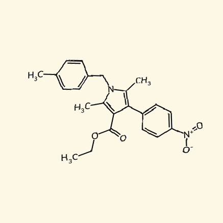 CCOC(=O)c1c(-c2ccc([N+](=O)[O-])cc2)c(C)n(Cc2ccc(C)cc2)c1C